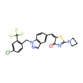 O=C1N=C(N2CCC2)SC1=Cc1ccc2c(cnn2Cc2ccc(Cl)cc2C(F)(F)F)c1